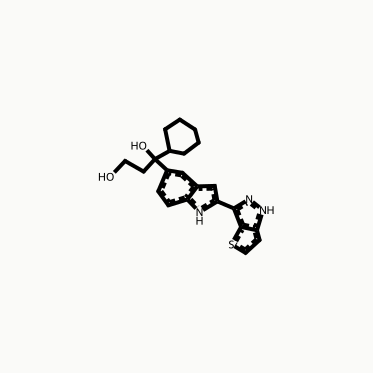 OCCC(O)(c1ccc2[nH]c(-c3n[nH]c4ccsc34)cc2c1)C1CCCCC1